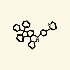 c1ccc(C2(c3ccccc3)c3ccccc3-c3c2ccc2c(-c4ccc(-c5ccccn5)cc4)nc4ccccc4c32)cc1